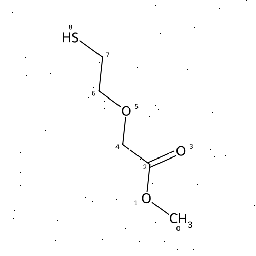 COC(=O)COCCS